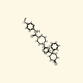 CSc1ccc(NC(=O)N2CCCN(c3nc(C4(c5ccccc5)CCC(=O)CC4)ns3)CC2)cc1